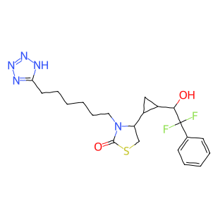 O=C1SCC(C2CC2C(O)C(F)(F)c2ccccc2)N1CCCCCCc1nnn[nH]1